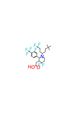 CC(C)(C)CCC(CCC(F)(F)F)N1CCC(F)(F)C(CC(=O)O)C1c1ccc(C(F)(F)F)cc1